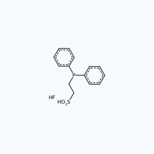 F.O=S(=O)(O)CCP(c1ccccc1)c1ccccc1